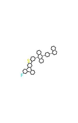 Fc1ccc2c(c1)c1ccccc1c1cc3c(cc21)sc1ccc(-c2c4ccccc4c(-c4ccc(-c5cccc6ccccc56)cc4)c4ccccc24)cc13